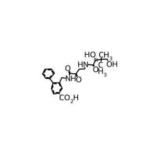 CC(C)(CO)[C@@H](O)C(=O)NCCC(=O)C(=O)NCc1cc(C(=O)O)ccc1-c1ccccc1